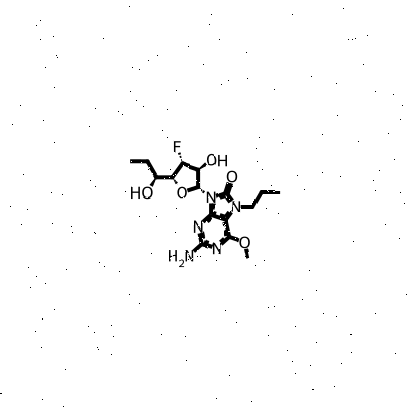 CCCn1c(=O)n([C@@H]2O[C@H]([C@@H](O)CC)[C@H](F)[C@H]2O)c2nc(N)nc(OC)c21